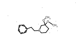 COC1(OC)CCCN(CCc2ccccc2)C1